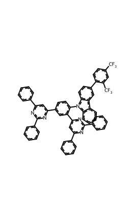 FC(F)(F)c1ccc(-c2ccc3c(c2)c2ccccc2n3-c2ccc(-c3cc(-c4ccccc4)nc(-c4ccccc4)n3)cc2-c2cc(-c3ccccc3)nc(-c3ccccc3)n2)c(C(F)(F)F)c1